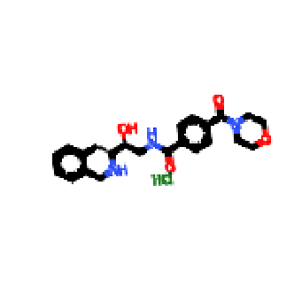 Cl.O=C(NC[C@H](O)[C@H]1Cc2ccccc2CN1)c1ccc(C(=O)N2CCOCC2)cc1